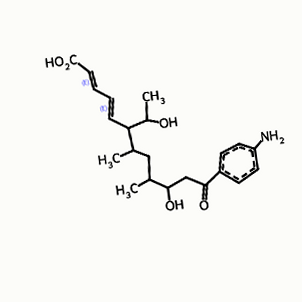 CC(O)C(/C=C/C=C/C(=O)O)C(C)CC(C)C(O)CC(=O)c1ccc(N)cc1